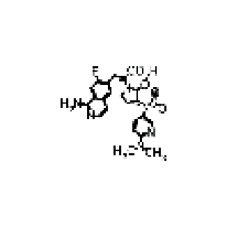 CN(C)c1ccc(N([C@H]2CCN([C@H](Cc3cc4ccnc(N)c4cc3F)C(=O)O)C2=O)[SH](=O)=O)cn1